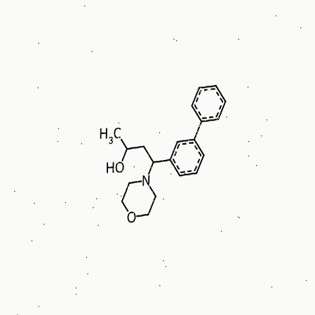 CC(O)CC(c1cccc(-c2ccccc2)c1)N1CCOCC1